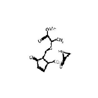 COC(=O)C(C)SCC1C(=O)C=CC1C(=O)O.O=C1CN1